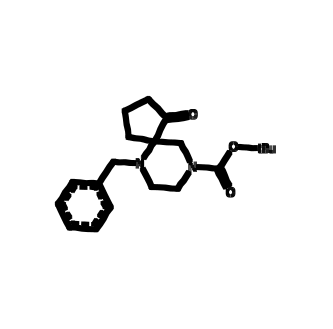 CC(C)(C)OC(=O)N1CCN(Cc2ccccc2)C2(CCCC2=O)C1